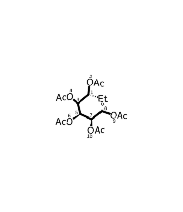 CC[C@@H](OC(C)=O)C(OC(C)=O)[C@H](OC(C)=O)[C@@H](COC(C)=O)OC(C)=O